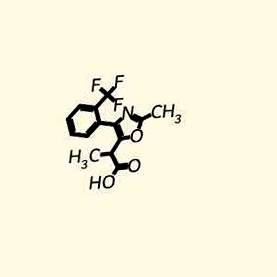 Cc1nc(-c2ccccc2C(F)(F)F)c(C(C)C(=O)O)o1